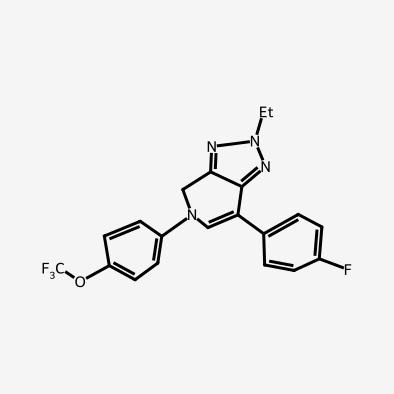 CCn1nc2c(n1)C(c1ccc(F)cc1)=CN(c1ccc(OC(F)(F)F)cc1)C2